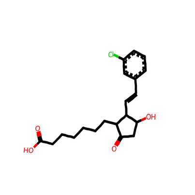 O=C(O)CCCCCCC1C(=O)CC(O)C1/C=C/c1cccc(Cl)c1